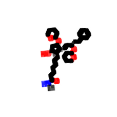 CCNC(=O)CCCC=CC[C@@H]1[C@@H](C=C[C@H](CCc2ccccc2)OC2CCCCO2)[C@H](OC2CCCCO2)C[C@@H]1O